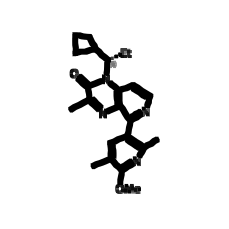 CC[C@@H](C1CCC1)n1c(=O)c(C)nc2c(-c3cc(C)c(OC)nc3C)nccc21